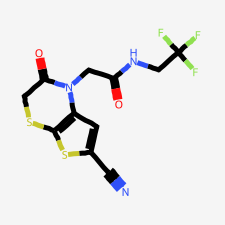 N#Cc1cc2c(s1)SCC(=O)N2CC(=O)NCC(F)(F)F